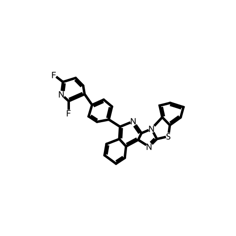 Fc1ccc(-c2ccc(-c3nc4c(nc5sc6ccccc6n54)c4ccccc34)cc2)c(F)n1